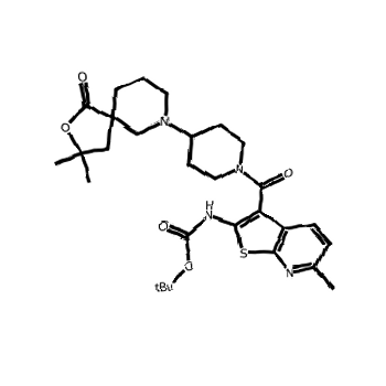 Cc1ccc2c(C(=O)N3CCC(N4CCCC5(C4)CC(C)(C)OC5=O)CC3)c(NC(=O)OC(C)(C)C)sc2n1